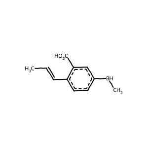 CBc1ccc(/C=C/C)c(C(=O)O)c1